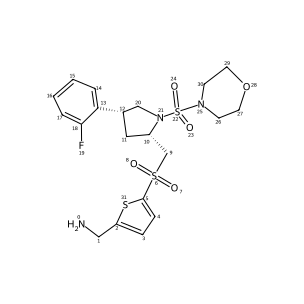 NCc1ccc(S(=O)(=O)C[C@@H]2C[C@H](c3ccccc3F)CN2S(=O)(=O)N2CCOCC2)s1